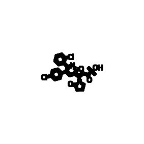 CC(C)(O)C(=O)c1oc2nc(-c3ccccc3Cl)c(-c3ccc(Cl)cc3)cc2c1N1CCCC1=O